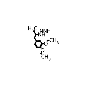 CCOc1ccc(CC(CC)NN=N)cc1OCC